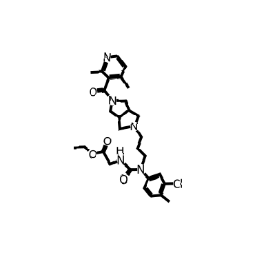 CCOC(=O)CNC(=O)N(CCCN1CC2CN(C(=O)c3c(C)ccnc3C)CC2C1)c1ccc(C)c(Cl)c1